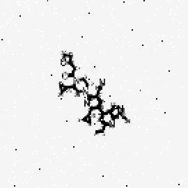 C=Cc1cc(-c2cc(C#N)c(N3CCN(C(=O)CC4CCO4)C(C4CC4)C3)nc2C2CC2)c2cnn(C)c2n1